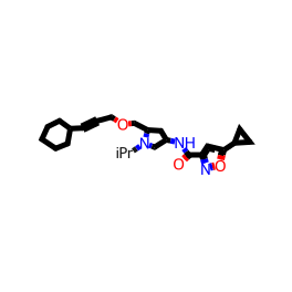 CC(C)N1CC(NC(=O)c2cc(C3CC3)on2)CC1COCC#CC1CCCCC1